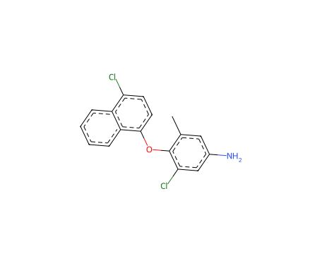 Cc1cc(N)cc(Cl)c1Oc1ccc(Cl)c2ccccc12